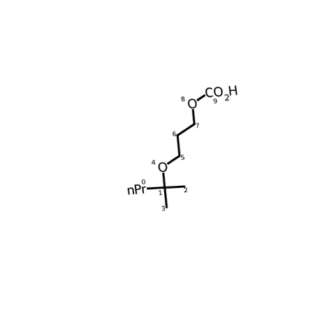 CCCC(C)(C)OCCCOC(=O)O